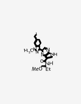 CC[C@@H](COC)NC(=O)c1c[nH]c2ncc(-c3nn(C)c4cc(CI)ccc34)nc12